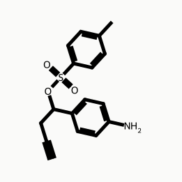 C#CCC(OS(=O)(=O)c1ccc(C)cc1)c1ccc(N)cc1